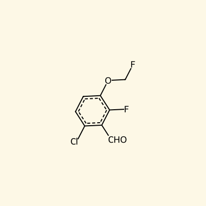 O=Cc1c(Cl)ccc(OCF)c1F